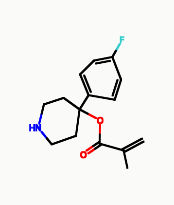 C=C(C)C(=O)OC1(c2ccc(F)cc2)CCNCC1